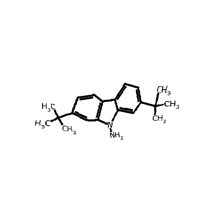 CC(C)(C)c1ccc2c3ccc(C(C)(C)C)cc3n(N)c2c1